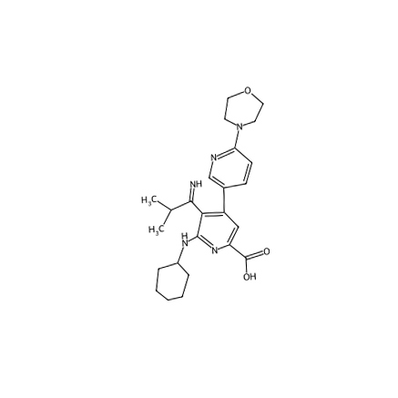 CC(C)C(=N)c1c(-c2ccc(N3CCOCC3)nc2)cc(C(=O)O)nc1NC1CCCCC1